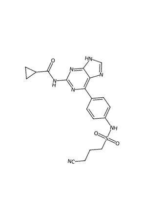 N#CCCCS(=O)(=O)Nc1ccc(-c2nc(NC(=O)C3CC3)nc3[nH]cnc23)cc1